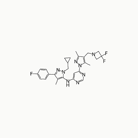 Cc1nn(-c2cc(Nc3c(C)c(-c4ccc(F)cc4)nn3CC3CC3)ncn2)c(C)c1CN1CC(F)(F)C1